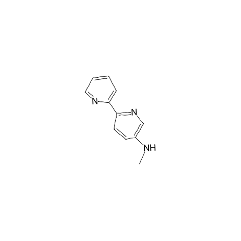 CNc1ccc(-c2ccccn2)nc1